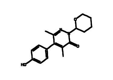 Cc1nn(C2CCCCO2)c(=O)c(C)c1-c1ccc(O)cc1